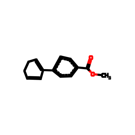 COC(=O)c1ccc(C2=CCCC=C2)cc1